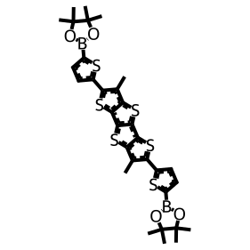 Cc1c(-c2ccc(B3OC(C)(C)C(C)(C)O3)s2)sc2c1sc1c3sc(-c4ccc(B5OC(C)(C)C(C)(C)O5)s4)c(C)c3sc21